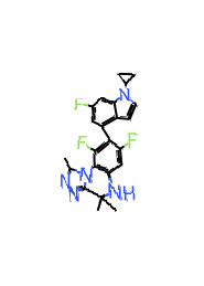 Cc1nnc2n1-c1c(cc(F)c(-c3cc(F)cc4c3ccn4C3CC3)c1F)NC2(C)C